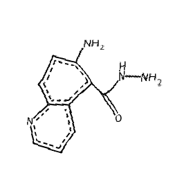 NNC(=O)c1c(N)ccc2ncccc12